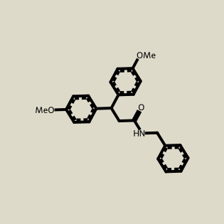 COc1ccc(C(CC(=O)NCc2ccccc2)c2ccc(OC)cc2)cc1